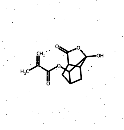 C=C(C)C(=O)OC1C2CC3C(=O)OC1(O)C3C2